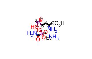 CCOP(=O)(O)C(N)=O.CP(=O)(O)CCC(N)C(=O)O.N